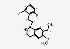 COc1cc2c(cc1OC)[C@H](CCc1c(F)cccc1F)NCC2